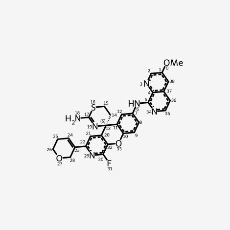 COc1cnc2c(Nc3ccc4c(c3)[C@@]3(CCSC(N)=N3)c3cc(C5=CCCOC5)nc(F)c3O4)nccc2c1